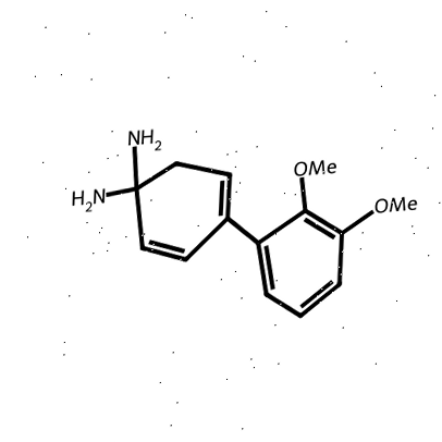 COc1cccc(C2=CCC(N)(N)C=C2)c1OC